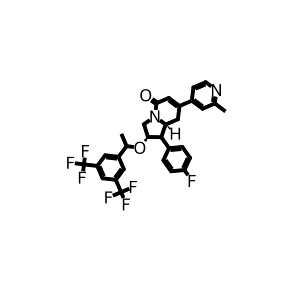 Cc1cc(C2=CC(=O)N3C[C@H](OC(C)c4cc(C(F)(F)F)cc(C(F)(F)F)c4)C(c4ccc(F)cc4)[C@@H]3C2)ccn1